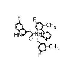 Cc1cc(F)cc(C[C@H](NC(=O)Cc2c[nH]c3ccc(F)cc23)c2ncccc2-c2ccc(F)cc2C)c1